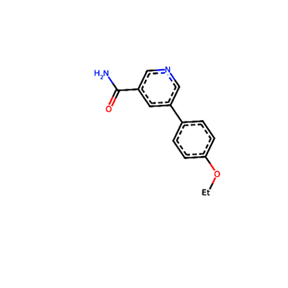 CCOc1ccc(-c2cncc(C(N)=O)c2)cc1